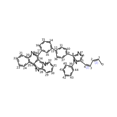 C/C=C\C=C/c1cnc(-c2ccc(-c3cccc(-c4nc5ccccc5c5nc6ccccn6c45)c3)cc2)n1-c1ccccc1